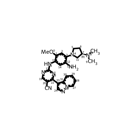 COc1cc(N2CC[C@@H](N(C)C)C2)c(N)cc1Nc1ncc(C#N)c(-c2cnn3ccccc23)n1